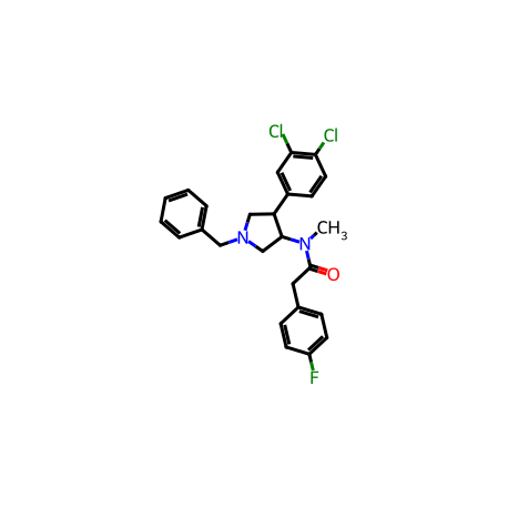 CN(C(=O)Cc1ccc(F)cc1)C1CN(Cc2ccccc2)CC1c1ccc(Cl)c(Cl)c1